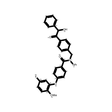 CCCN(Cc1ccc(C(=O)C(O)c2ccccc2)cc1)C(=O)c1ccc(Oc2cc(F)ccc2OC)cc1